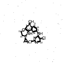 CN1CC2=C(N[C@@H](C3CC3)CCO2)c2cc(Nc3nc(Cl)ncc3Cl)ccc21